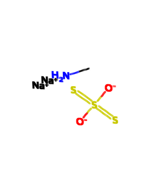 CN.[Na+].[Na+].[O-]S([O-])(=S)=S